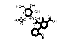 COc1ccccc1-c1ccc(C(=O)O)c(C)c1C(=O)O.O=S(=O)(O)O[C@@H]1O[C@H](CO)[C@@H](O)[C@H](O)[C@H]1O